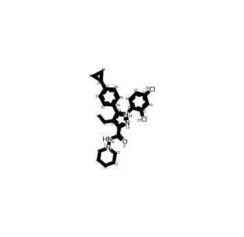 CCc1c(C(=O)NN2CCCCC2)nn(-c2ccc(Cl)cc2Cl)c1-c1ccc(C2CC2)cc1